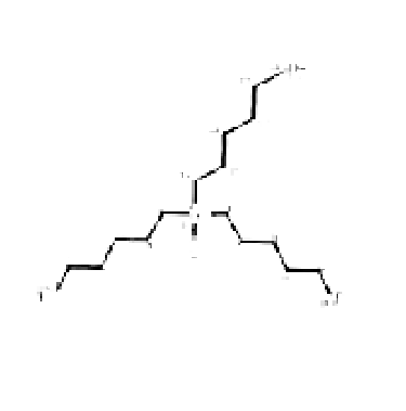 CC(C)CCCCC[N+]([O-])(CCCCCC(C)C)CCCCCC(C)C